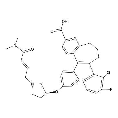 CN(C)C(=O)/C=C/CN1CC[C@H](Oc2ccc(C3=C(c4cccc(F)c4Cl)CCCc4cc(C(=O)O)ccc43)cc2)C1